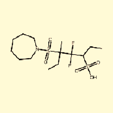 CCC(C(F)(F)C(C)(CC)S(=O)(=O)N1CCCCCC1)S(=O)(=O)O